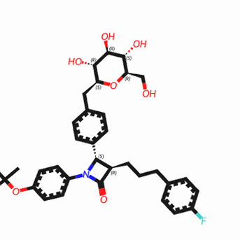 CC(C)(Oc1ccc(N2C(=O)[C@H](CCCc3ccc(F)cc3)[C@H]2c2ccc(C[C@@H]3O[C@H](CO)[C@@H](O)[C@H](O)[C@H]3O)cc2)cc1)C(=O)O